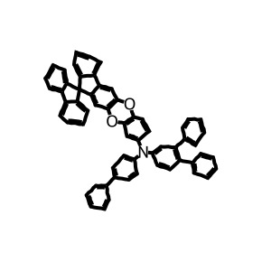 c1ccc(-c2ccc(N(c3ccc4c(c3)Oc3cc5c(cc3O4)-c3ccccc3C53c4ccccc4-c4ccccc43)c3ccc(-c4ccccc4)c(-c4ccccc4)c3)cc2)cc1